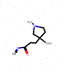 B=NC(=O)CCC1(C=O)CCN(C)C1